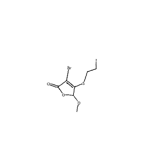 CCCSC1=C(Br)C(=O)OC1OC